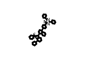 c1ccc(-c2nc(-c3ccccc3)nc(-c3ccc(-c4ccc(-c5c6cccc(-c7ccccc7)c6n6c5sc5ccccc56)c5ccccc45)cc3)n2)cc1